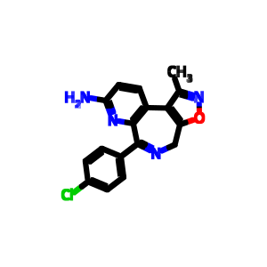 Cc1noc2c1-c1ccc(N)nc1C(c1ccc(Cl)cc1)=NC2